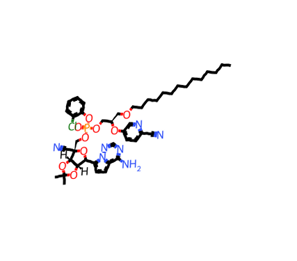 CCCCCCCCCCCCCCOC[C@H](COP(=O)(OC[C@@]1(C#N)OC(c2ccc3c(N)ncnn23)[C@@H]2OC(C)(C)O[C@@H]21)Oc1ccccc1Cl)Oc1ccc(C#N)nc1